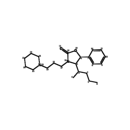 CCCC(C)C1C(c2ccccc2)OC(=O)N1CCCN1CCCCC1